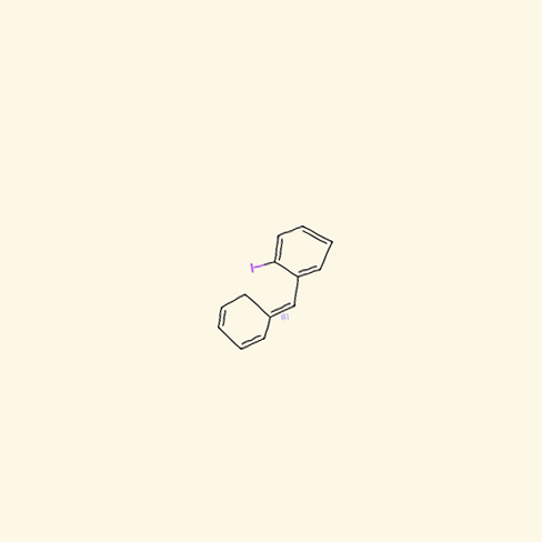 Ic1ccccc1/C=C1/C=CC=CC1